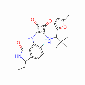 CCC1NC(=O)c2c1ccc(F)c2Nc1c(N[C@@H](c2ccc(C)o2)C(C)(C)C)c(=O)c1=O